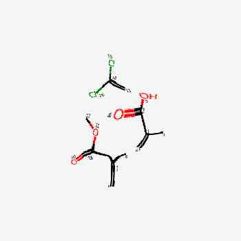 C=C(C)C(=O)O.C=C(C)C(=O)OC.C=C(Cl)Cl